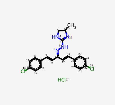 CC1CNC(NN=C(C=Cc2ccc(Cl)cc2)C=Cc2ccc(Cl)cc2)=N1.Cl